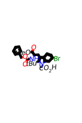 COC(=O)C(Cc1c(C(C)(C)C)n(C(=O)O)c2cc(Br)ccc12)NC(=O)OCc1ccccc1